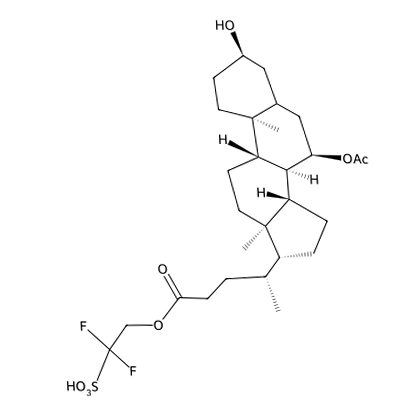 CC(=O)O[C@@H]1CC2C[C@H](O)CC[C@]2(C)[C@H]2CC[C@]3(C)[C@@H]([C@H](C)CCC(=O)OCC(F)(F)S(=O)(=O)O)CC[C@H]3[C@H]12